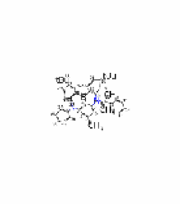 Cc1cc2c3c(c1)N(C(C)(C)c1ccccc1)c1cc(C(C)(C)C)ccc1B3c1cc(C(C)(C)C)ccc1N2c1ccccc1